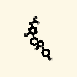 CC(C)C(=O)Nc1ccc(N2CCC[C@]3(CCN(C4CCC(O)CC4)C3=O)C2)c(C#N)c1